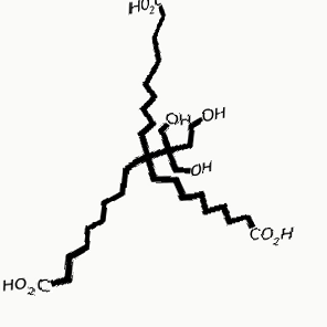 O=C(O)CCCCCCCCC(CCCCCCCCC(=O)O)(CCCCCCCCC(=O)O)C(CO)(CO)CCO